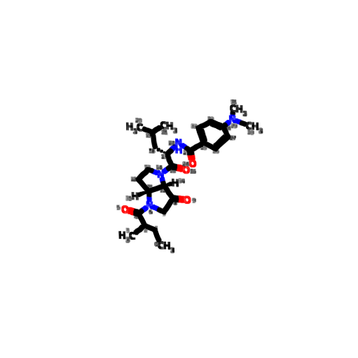 CCC(C)C(=O)N1CC(=O)[C@@H]2[C@H]1CCN2C(=O)[C@H](CC(C)C)NC(=O)c1ccc(N(C)C)cc1